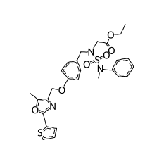 CCOC(=O)CN(Cc1ccc(OCc2nc(-c3cccs3)oc2C)cc1)S(=O)(=O)N(C)c1ccccc1